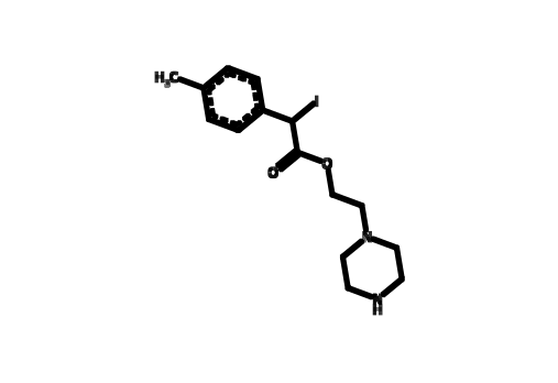 Cc1ccc(C(I)C(=O)OCCN2CCNCC2)cc1